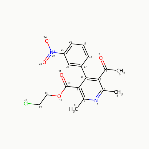 CC(=O)c1c(C)nc(C)c(C(=O)OCCCl)c1-c1cccc([N+](=O)[O-])c1